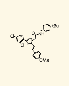 COc1ccc(C=Cc2nc(-c3ccc(Cl)cc3Cl)cn2CC(=O)NCc2ccc(C(C)(C)C)cc2)cc1